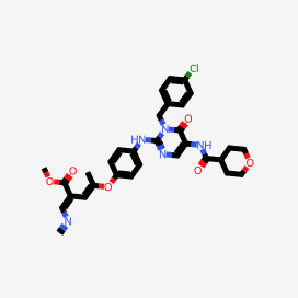 C=N/C=C(\C=C(/C)Oc1ccc(Nc2ncc(NC(=O)C3CCOCC3)c(=O)n2Cc2ccc(Cl)cc2)cc1)C(=O)OC